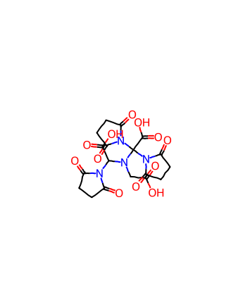 O=C(O)CN(C(C(=O)O)N1C(=O)CCC1=O)C(C(=O)O)(N1C(=O)CCC1=O)N1C(=O)CCC1=O